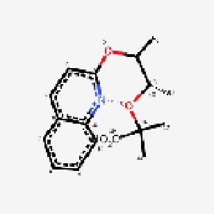 CC(Oc1ccc2ccccc2n1)[C@H](C)OC(C)(C)C(=O)O